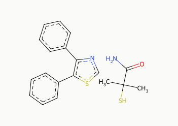 CC(C)(S)C(N)=O.c1ccc(-c2ncsc2-c2ccccc2)cc1